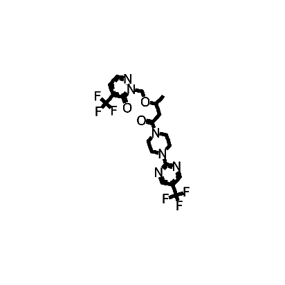 CC(CC(=O)N1CCN(c2ncc(C(F)(F)F)cn2)CC1)OCn1nccc(C(F)(F)F)c1=O